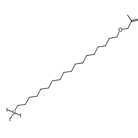 C=C(C)COCCCCCCCCCCCCCCCCCC[Si](I)(I)I